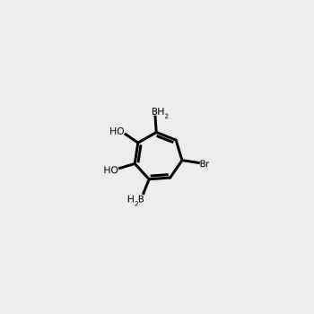 BC1=CC(Br)C=C(B)C(O)=C1O